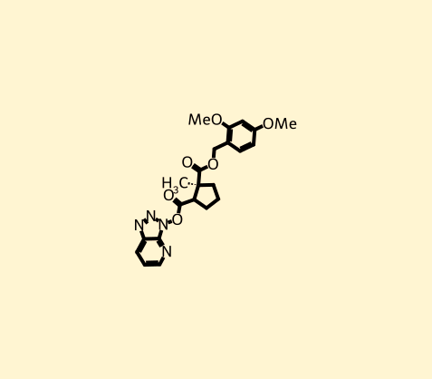 COc1ccc(COC(=O)[C@@]2(C)CCCC2C(=O)On2nnc3cccnc32)c(OC)c1